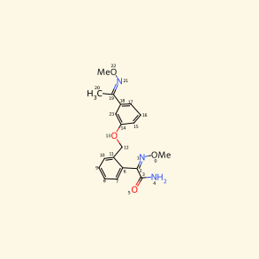 CON=C(C(N)=O)c1ccccc1COc1cccc(/C(C)=N/OC)c1